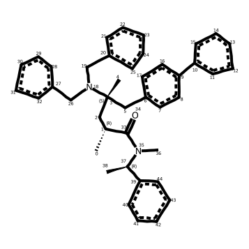 C[C@H](C[C@@](C)(Cc1ccc(-c2ccccc2)cc1)N(Cc1ccccc1)Cc1ccccc1)C(=O)N(C)[C@H](C)c1ccccc1